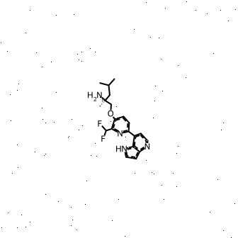 CC(C)C[C@](C)(N)COc1ccc(-c2ccnc3cc[nH]c23)nc1C(F)F